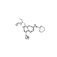 CCC(Cc1ncc(O)c2ccc(SC3CCCCC3)cc12)OC=O